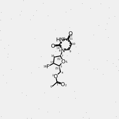 CC(=O)OC[C@@H]1O[C@H](n2ccc(=O)[nH]c2=O)CC1F